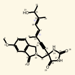 COc1ccc2c(c1)C(=O)N(CC1(C#C/C(C)=C/C=C(\C)C(C)O)NC(=O)NC1=O)C2